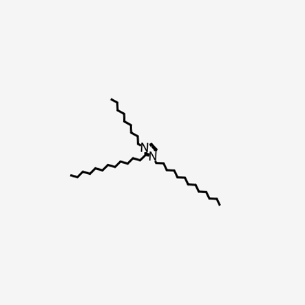 CCCCCCCCCCCCCn1cc[n+](CCCCCCCCC)c1CCCCCCCCCCCC